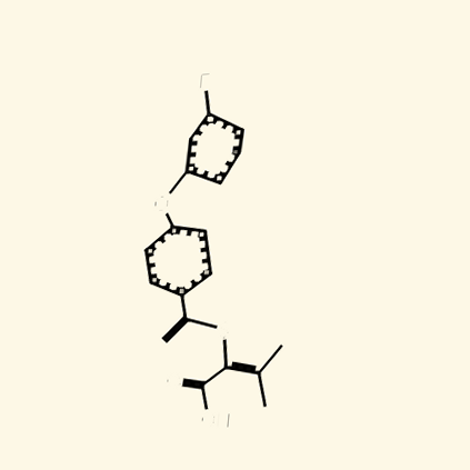 C=C(SC(C(=O)O)=C(C)C)c1ccc(Oc2cccc(F)c2)cc1